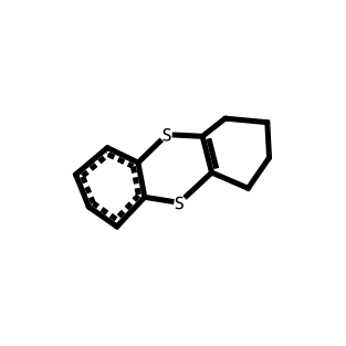 c1ccc2c(c1)SC1=C(CCCC1)S2